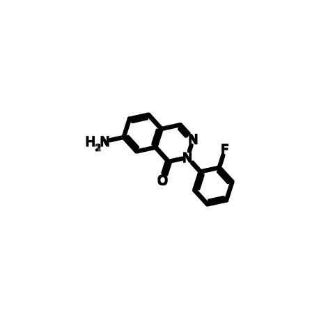 Nc1ccc2cnn(-c3ccccc3F)c(=O)c2c1